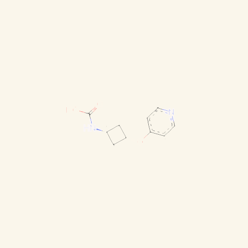 O=C(O)N[C@H]1C[C@H](Oc2ccncc2)C1